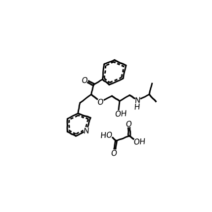 CC(C)NCC(O)COC(Cc1cccnc1)C(=O)c1ccccc1.O=C(O)C(=O)O